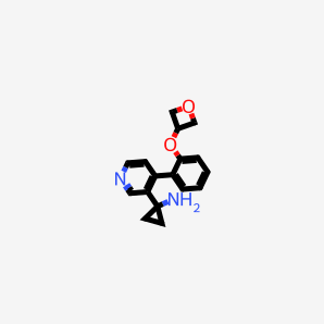 NC1(c2cnccc2-c2ccccc2OC2COC2)CC1